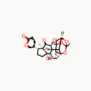 CC12O[C@H]3C[C@@H](O1)[C@]1(C=O)[C@H]4[C@H](O)C(=O)[C@]5(C)[C@@H](c6ccc(=O)oc6)CC[C@]5(O)[C@@H]4CC[C@@]1(C3)O2